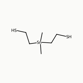 [CH3][Sn]([CH3])([CH2]CS)[CH2]CS